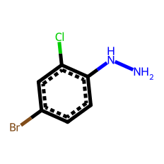 NNc1ccc(Br)cc1Cl